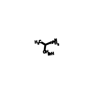 Br.CCCC(C)O.N